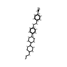 CCCC1CCC(C2CCC(c3ccc(CCc4ccc(C#N)cc4)cc3)CC2)CC1